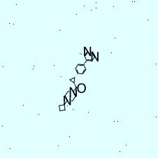 O=C([C@H]1C[C@@H]1c1ccc(-c2cncnc2)cc1)N1CCN(C2CCC2)CC1